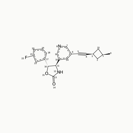 C[C@H]1C[C@@H](C#Cc2cncc([C@H]3NC(=O)O[C@@H]3c3cccc(F)c3)c2)C1